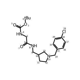 CC(C)(C)OC(=O)NCC(=O)NCC1CCN(Cc2ccc(Cl)cc2)C1